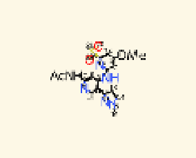 COc1cc(Nc2cc(NC(C)=O)ncc2-c2ccn(C)n2)nc(S(C)(=O)=O)c1